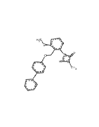 COc1cccc(-n2[nH]n(C)c2=O)c1COc1ccc(-c2ccccc2)cc1